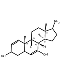 C[C@]12C=CC(O)CC1C=C(O)[C@@H]1[C@H]2CC[C@]2(C)C(N)CC[C@@H]12